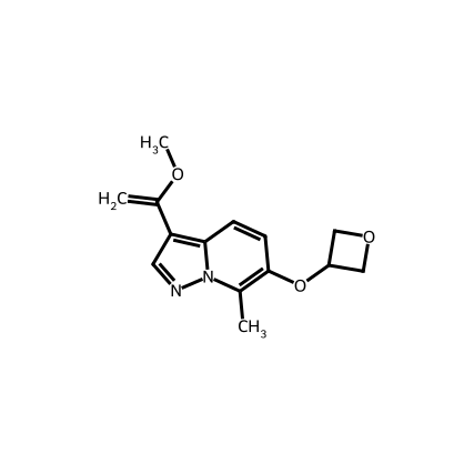 C=C(OC)c1cnn2c(C)c(OC3COC3)ccc12